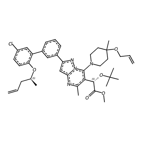 C=CCOC1(C)CCN(c2c([C@H](OC(C)(C)C)C(=O)OC)c(C)nc3cc(-c4cccc(-c5cc(Cl)ccc5O[C@@H](C)CC=C)c4)nn23)CC1